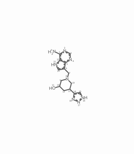 Nc1ncnc2c(CN3CC(O)CC(c4c[nH]nn4)C3)c[nH]c12